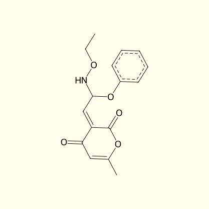 CCONC(C=C1C(=O)C=C(C)OC1=O)Oc1ccccc1